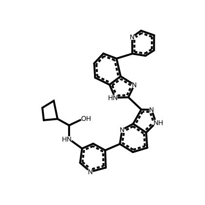 OC(Nc1cncc(-c2ccc3[nH]nc(-c4nc5c(-c6ccccn6)cccc5[nH]4)c3n2)c1)C1CCC1